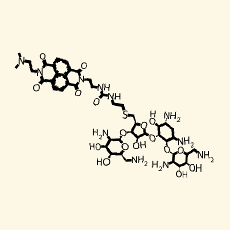 CN(C)CCN1C(=O)c2ccc3c4c(ccc(c24)C1=O)C(=O)N(CCNC(=O)NCCSC[C@H]1OC(O[C@@H]2C(O)[C@H](N)CC(N)[C@H]2O[C@H]2OC(CN)[C@@H](O)[C@H](O)C2N)[C@@H](O)[C@H]1O[C@H]1O[C@@H](CN)[C@@H](O)C(O)C1N)C3=O